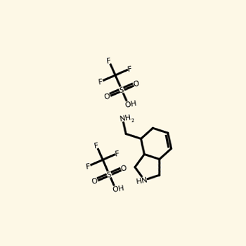 NCC1CC=CC2CNCC21.O=S(=O)(O)C(F)(F)F.O=S(=O)(O)C(F)(F)F